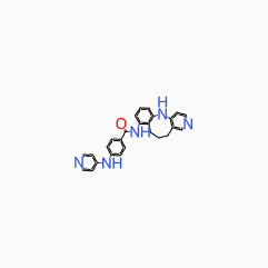 O=C(Nc1cccc2c1CCCc1cnccc1N2)c1ccc(Nc2ccncc2)cc1